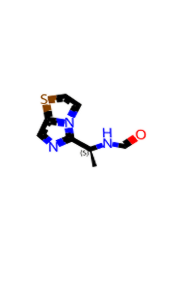 C[C@H](NC=O)c1ncc2sccn12